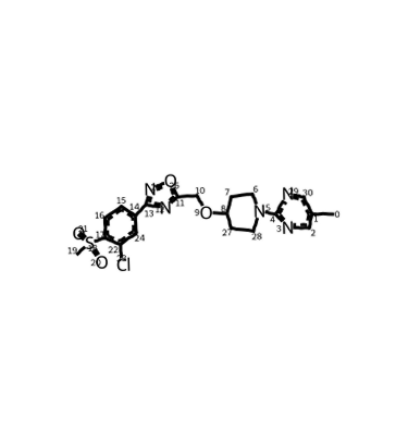 Cc1cnc(N2CCC(OCc3nc(-c4ccc(S(C)(=O)=O)c(Cl)c4)no3)CC2)nc1